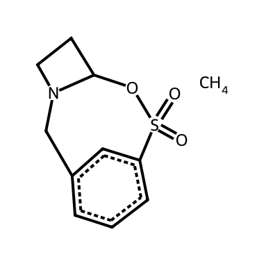 C.O=S1(=O)OC2CCN2Cc2cccc1c2